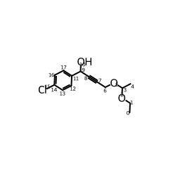 CCOC(C)OCC#CC(O)c1ccc(Cl)cc1